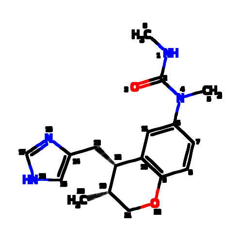 CNC(=O)N(C)c1ccc2c(c1)[C@@H](Cc1c[nH]cn1)[C@@H](C)CO2